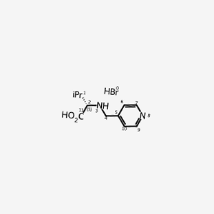 Br.CC(C)[C@H](NCc1ccncc1)C(=O)O